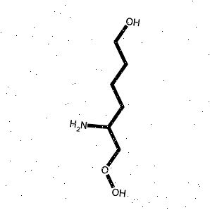 NC(CCCCO)COO